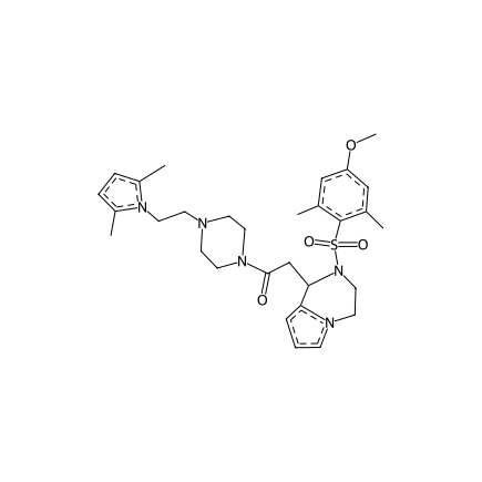 COc1cc(C)c(S(=O)(=O)N2CCn3cccc3C2CC(=O)N2CCN(CCn3c(C)ccc3C)CC2)c(C)c1